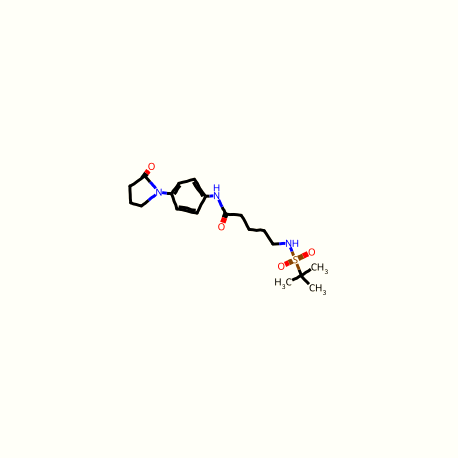 CC(C)(C)S(=O)(=O)NCCCCC(=O)Nc1ccc(N2CCCC2=O)cc1